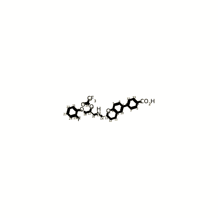 O=C(O)c1ccc(-c2ccc3c(c2)CC[C@H](CNC[C@@H](COc2ccccc2F)OC(=O)C(F)(F)F)O3)cc1